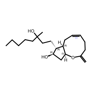 C=C1CC/C=C\C[C@@H]2[C@@H](CCC(C)(O)CCCCC)[C@H](O)C[C@@H]2O1